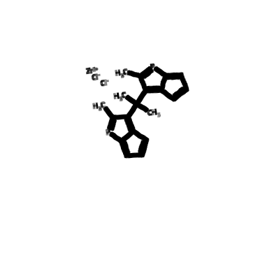 CC1=PC2=CC=CC2=C1C(C)(C)C1=C2C=CC=C2P=C1C.[Cl-].[Cl-].[Zr+2]